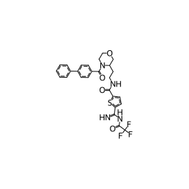 N=C(NC(=O)C(F)(F)F)c1ccc(C(=O)NCCC2COCCN2C(=O)c2ccc(-c3ccccc3)cc2)s1